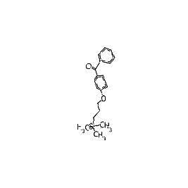 C[Si](C)(C)CCCOc1ccc(C(=O)c2ccccc2)cc1